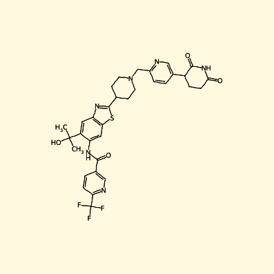 CC(C)(O)c1cc2nc(C3CCN(Cc4ccc(C5CCC(=O)NC5=O)cn4)CC3)sc2cc1NC(=O)c1ccc(C(F)(F)F)nc1